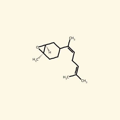 CC(C)=CC/C=C(/C)C1CC[C@@]2(C)O[C@H]2C1